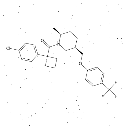 C[C@H]1CC[C@@H](COc2ccc(C(F)(F)F)cc2)CN1C(=O)C1(c2ccc(Cl)cc2)CCC1